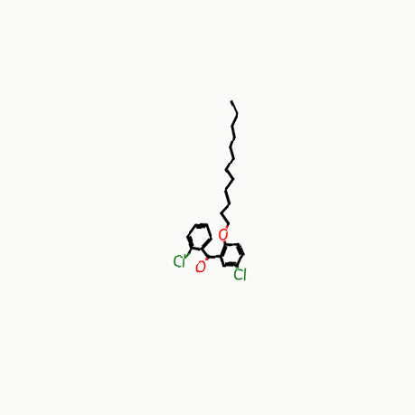 CCCCCCCCCCCCOc1ccc(Cl)cc1C(=O)c1ccccc1Cl